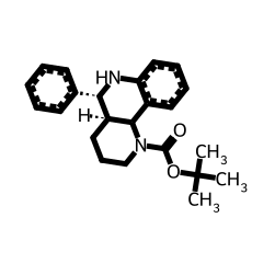 CC(C)(C)OC(=O)N1CCC[C@@H]2C1c1ccccc1N[C@H]2c1ccccc1